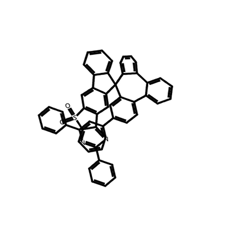 O=S1(=O)c2ccccc2-c2cc3c(cc21)-c1ccccc1C31c2ccccc2-c2ccccc2-c2ccc(-c3cc(-c4ccccc4)nc(-c4ccccc4)n3)cc21